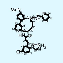 CNc1ccc2c(c1)N[C@@H](CNCc1ccccn1)CCCC[C@H](NC(=O)/C=C/c1cc(Cl)ccc1N(N)/C=N\N)c1cc-2ccn1